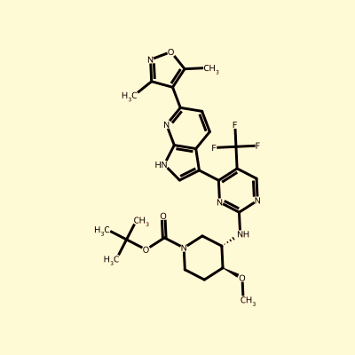 CO[C@H]1CCN(C(=O)OC(C)(C)C)C[C@@H]1Nc1ncc(C(F)(F)F)c(-c2c[nH]c3nc(-c4c(C)noc4C)ccc23)n1